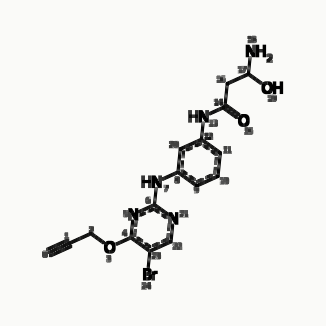 C#CCOc1nc(Nc2cccc(NC(=O)CC(N)O)c2)ncc1Br